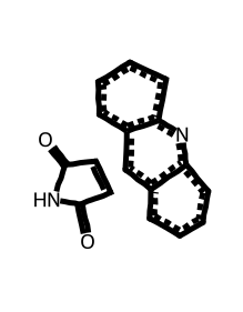 O=C1C=CC(=O)N1.c1ccc2nc3ccccc3cc2c1